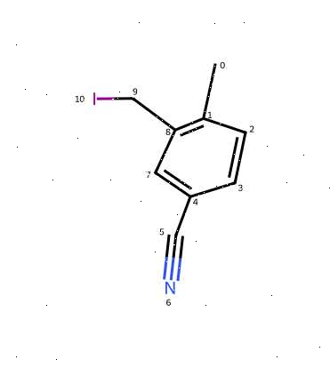 Cc1ccc(C#N)cc1CI